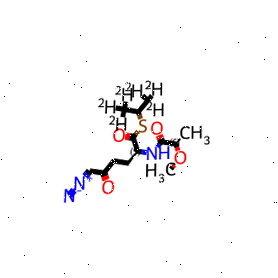 [2H]C([2H])([2H])C(SC(=O)[C@H](CCC(=O)C=[N+]=[N-])NC(=O)[C@H](C)OC)C([2H])([2H])[2H]